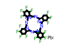 Fc1cc2c(c(F)c1F)-c1nc-2nc2[nH]c(nc3nc(nc4c5c(F)c(F)c(F)c(F)c5c(n1)n4F)-c1c(F)c(F)c(F)c(F)c1-3)c1c(F)c(F)c(F)c(F)c21.[Pb]